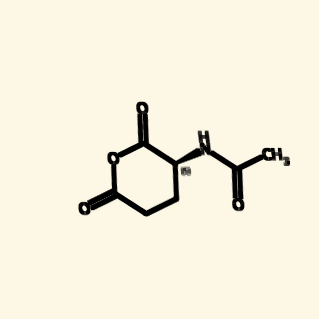 CC(=O)N[C@H]1CCC(=O)OC1=O